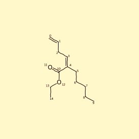 C=CCC=C(CCCCC)C(=O)OCC